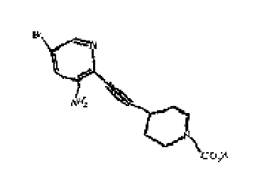 Nc1cc(Br)cnc1C#CC1CCN(C(=O)O)CC1